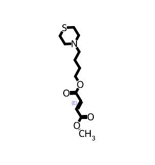 COC(=O)/C=C/C(=O)OCCCCN1CCSCC1